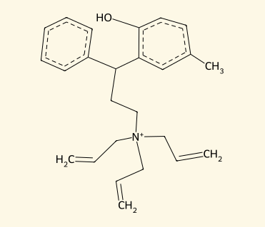 C=CC[N+](CC=C)(CC=C)CCC(c1ccccc1)c1cc(C)ccc1O